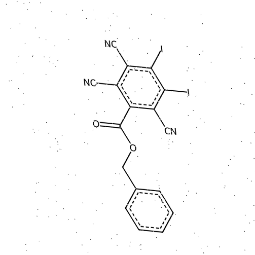 N#Cc1c(I)c(I)c(C#N)c(C(=O)OCc2ccccc2)c1C#N